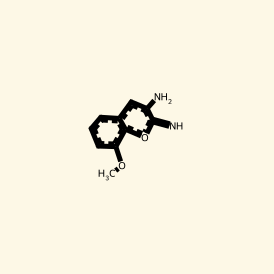 COc1cccc2cc(N)c(=N)oc12